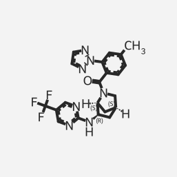 Cc1ccc(C(=O)N2C[C@H]3C[C@@H](Nc4ncc(C(F)(F)F)cn4)[C@@H]2C3)c(-n2nccn2)c1